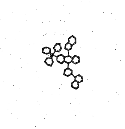 c1ccc([Si](c2ccccc2)(c2ccccc2)c2ccc3c(-c4cccc(-c5cccc6ccccc56)c4)c4ccccc4c(-c4ccc5ccccc5c4)c3c2)cc1